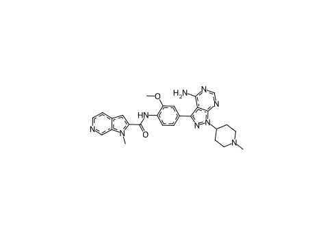 COc1cc(-c2nn(C3CCN(C)CC3)c3ncnc(N)c23)ccc1NC(=O)c1cc2ccncc2n1C